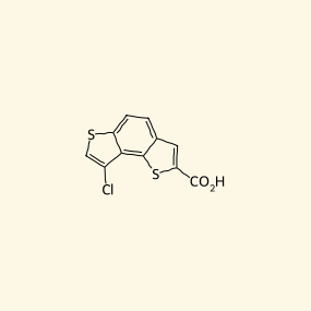 O=C(O)c1cc2ccc3scc(Cl)c3c2s1